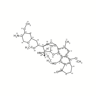 COc1c2c(c(O)c3c4c(c(C)cc13)C1OC3(C(CC5CC(OC)C(N)CO5)OC)O[C@@H]1[C@@](OC)(O4)[C@@]31CN1)C(=O)CCC2